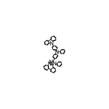 c1ccc(-c2ccccc2-c2nnc(-c3ccc(N(c4ccccc4)c4ccc(-n5c6ccccc6c6ccccc65)cc4)cc3)n2-c2ccccc2)cc1